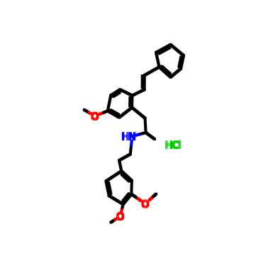 COc1ccc(/C=C/c2ccccc2)c(CC(C)NCCc2ccc(OC)c(OC)c2)c1.Cl